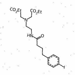 CCOC(=O)CN(CCNC(=O)CCCc1ccc(I)cc1)CC(=O)OCC